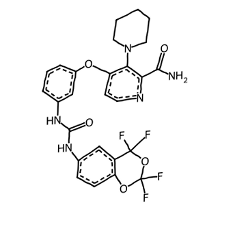 NC(=O)c1nccc(Oc2cccc(NC(=O)Nc3ccc4c(c3)C(F)(F)OC(F)(F)O4)c2)c1N1CCCCC1